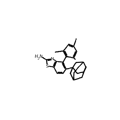 Cc1cc(C)c(-c2c(C34CC5CC(CC(C5)C3)C4)ccc3sc(N)nc23)c(C)c1